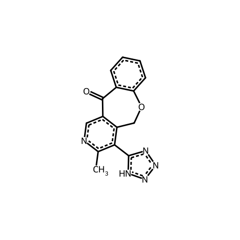 Cc1ncc2c(c1-c1nnn[nH]1)COc1ccccc1C2=O